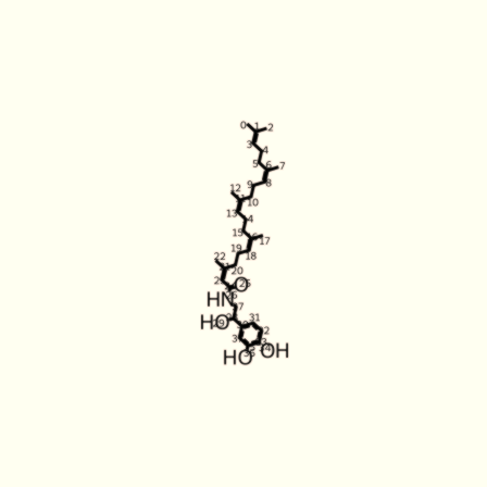 CC(C)=CCCC(C)=CCCC(C)=CCCC(C)=CCCC(C)=CC(=O)NCC(O)c1ccc(O)c(O)c1